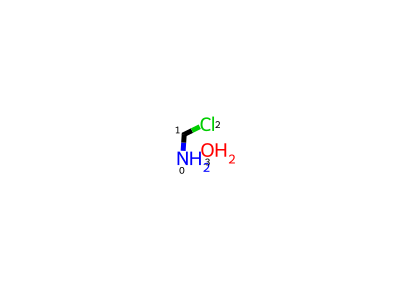 NCCl.O